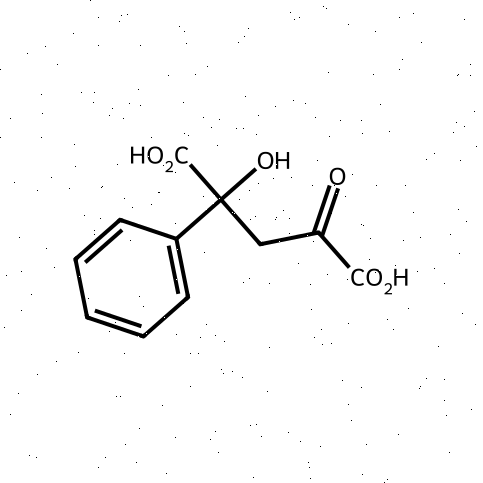 O=C(O)C(=O)CC(O)(C(=O)O)c1ccccc1